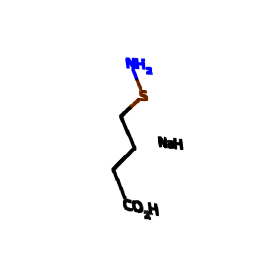 NSCCCC(=O)O.[NaH]